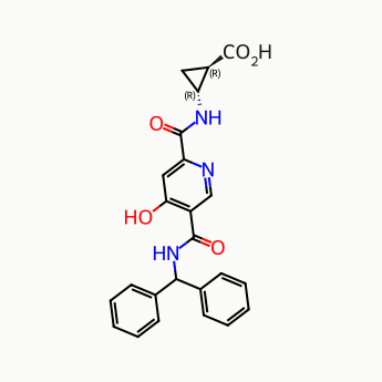 O=C(N[C@@H]1C[C@H]1C(=O)O)c1cc(O)c(C(=O)NC(c2ccccc2)c2ccccc2)cn1